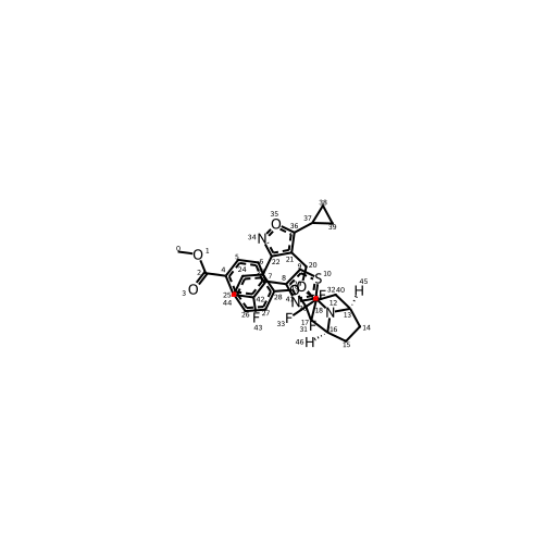 COC(=O)c1ccc(-c2csc(N3[C@@H]4CC[C@H]3C[C@@H](OCc3c(-c5ccccc5OC(F)(F)F)noc3C3CC3)C4)n2)c(F)c1